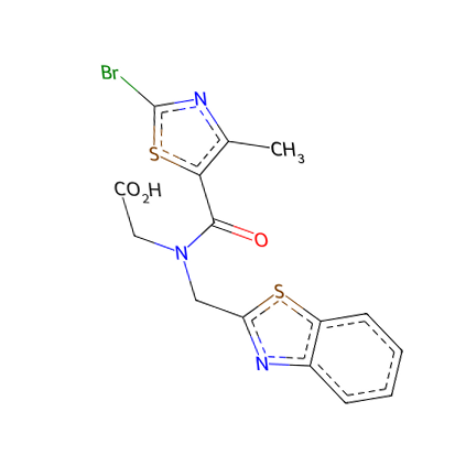 Cc1nc(Br)sc1C(=O)N(CC(=O)O)Cc1nc2ccccc2s1